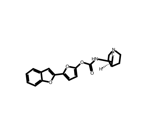 O=C(N[C@H]1CN2CCC1CC2)Oc1ccc(-c2cc3ccccc3o2)o1